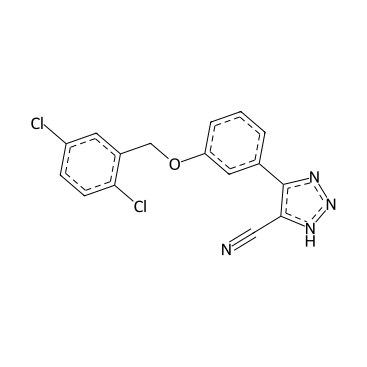 N#Cc1[nH]nnc1-c1cccc(OCc2cc(Cl)ccc2Cl)c1